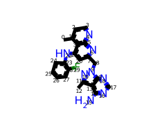 Cc1ccnc2nc(Cn3nc(C)c4c(N)ncnc43)cc(Nc3ccccc3F)c12